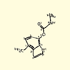 Cc1ccc(OC(=O)NC(C)(C)C)c2[nH]ccc12